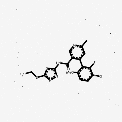 COc1ccc(Cl)c(F)c1-c1cc(C)ncc1C(=O)Nc1nnc(SCC(F)(F)F)s1